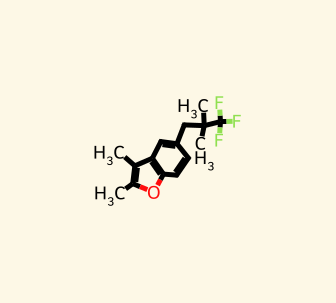 Cc1oc2ccc(CC(C)(C)C(F)(F)F)cc2c1C